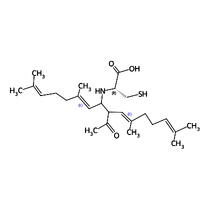 CC(=O)C(/C=C(\C)CCC=C(C)C)C(/C=C(\C)CCC=C(C)C)N[C@@H](CS)C(=O)O